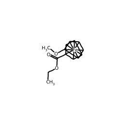 CCOC(=O)[C]12[CH]3[CH]4[CH]5[CH]1[Fe]45321678[CH]2[CH]1[CH]6[C]7(OC)[CH]28